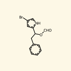 O=COC(Cc1ccccc1)c1cc(Br)c[nH]1